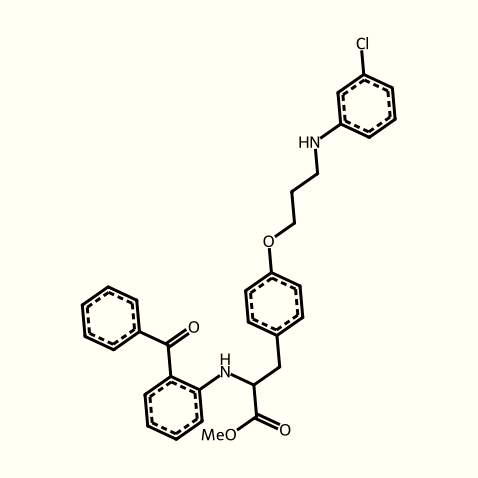 COC(=O)C(Cc1ccc(OCCCNc2cccc(Cl)c2)cc1)Nc1ccccc1C(=O)c1ccccc1